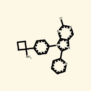 NC1(c2ccc(-n3c(-c4ccccn4)nc4cnc(Cl)nc43)cc2)CCC1